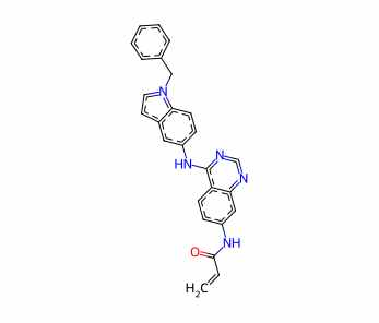 C=CC(=O)Nc1ccc2c(Nc3ccc4c(ccn4Cc4ccccc4)c3)ncnc2c1